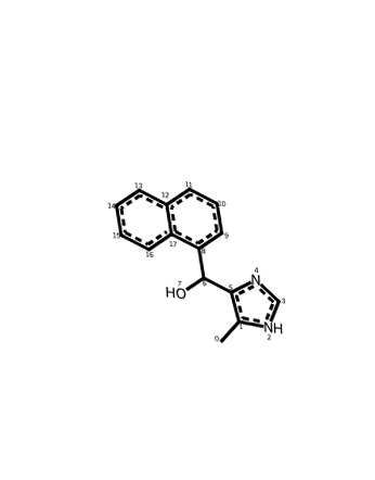 Cc1[nH]cnc1C(O)c1cccc2ccccc12